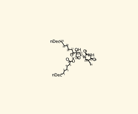 CCCCCCCCCCCCCCCC(=O)OC[C@H]1O[C@@H](n2cc(I)c(=O)[nH]c2=O)C[C@@]1(O)C(=O)CCCCCCCCCCCCCCC